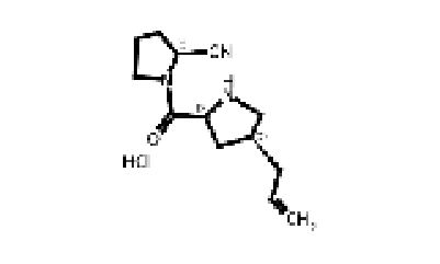 C=CC[C@@H]1CN[C@H](C(=O)N2CCC[C@H]2C#N)C1.Cl